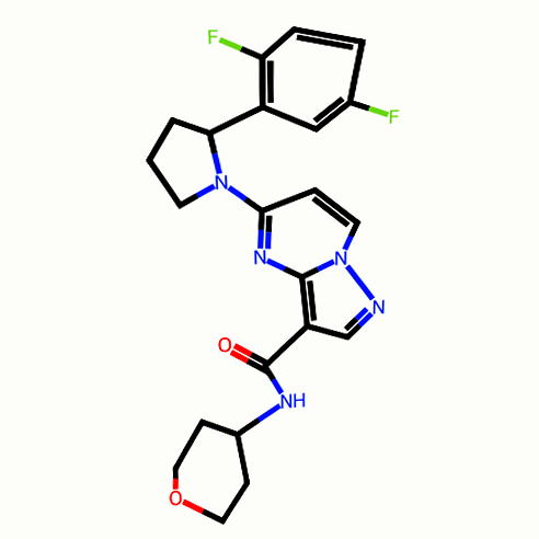 O=C(NC1CCOCC1)c1cnn2ccc(N3CCCC3c3cc(F)ccc3F)nc12